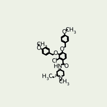 CC[C@@H]1C[C@H](NC(=O)c2ccc(OCc3ccc(OC)cc3)c(OCc3ccc(OC)cc3)c2Cl)CCN1C